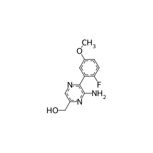 COc1ccc(F)c(-c2ncc(CO)nc2N)c1